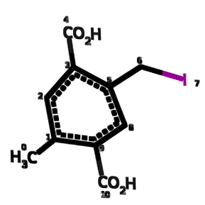 Cc1cc(C(=O)O)c(CI)cc1C(=O)O